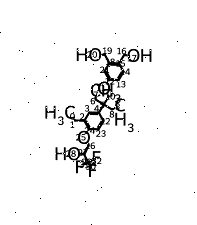 CCc1cc(C(CC)(CC)COc2ccc(CO)c(CO)c2)ccc1OCC(O)C(F)(F)F